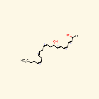 CCC(O)/C=C/C=C\C=C\C(O)C/C=C\C/C=C\C/C=C\CCC(=O)O